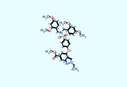 CCn1cc2c(Oc3ccc(S(=O)(=O)N(Cc4ccc(OC)cc4OC)Cc4ccc(OC)cc4OC)cc3)cc(C(=O)OC)cc2n1